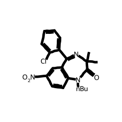 CCCCN1C(=O)C(C)(C)N=C(c2ccccc2Cl)c2cc([N+](=O)[O-])ccc21